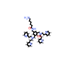 NCCCCCC(=O)NCc1cc(CN(CCc2ccccn2)CCc2ccccn2)c(O)c(CN(CCc2ccccn2)CCc2ccccn2)c1